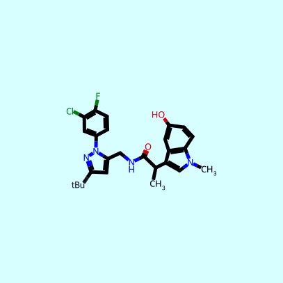 CC(C(=O)NCc1cc(C(C)(C)C)nn1-c1ccc(F)c(Cl)c1)c1cn(C)c2ccc(O)cc12